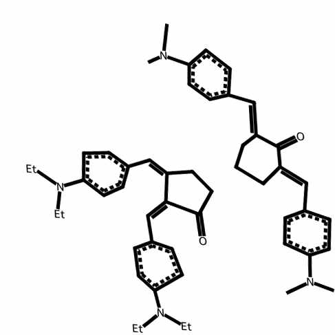 CCN(CC)c1ccc(C=C2CCC(=O)C2=Cc2ccc(N(CC)CC)cc2)cc1.CN(C)c1ccc(C=C2CCCC(=Cc3ccc(N(C)C)cc3)C2=O)cc1